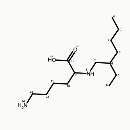 CCCCC(CC)CNC(CCCCN)C(=O)O